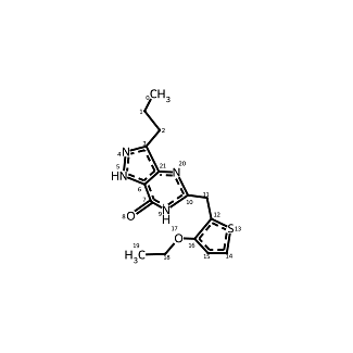 CCCc1n[nH]c2c(=O)[nH]c(Cc3sccc3OCC)nc12